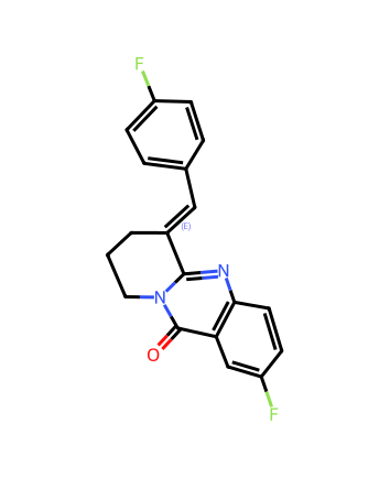 O=c1c2cc(F)ccc2nc2n1CCC/C2=C\c1ccc(F)cc1